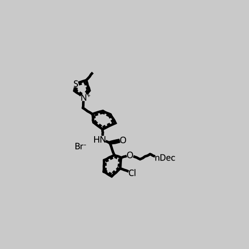 CCCCCCCCCCCCOc1c(Cl)cccc1C(=O)Nc1cccc(C[n+]2csc(C)c2)c1.[Br-]